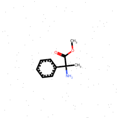 COC(=O)C(C)(N)c1ccccc1